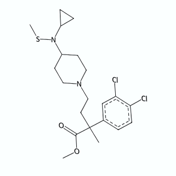 COC(=O)C(C)(CCN1CCC(N(SC)C2CC2)CC1)c1ccc(Cl)c(Cl)c1